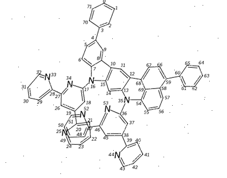 c1ccc(-c2ccc3c(c2)c2cc4c(cc2n3-c2cc(-c3ccccn3)cc(-c3ccccn3)n2)N(c2cc(-c3ccccn3)cc(-c3ccccn3)n2)c2cccc3c(-c5ccccc5)ccc-4c23)cc1